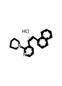 C(=C/c1cccc2ccccc12)/c1cccnc1N1CCCCC1.Cl